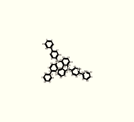 c1ccc(-c2ccc(N(c3ccc(-c4ccccc4)cc3)c3cccc4c3c3ccccc3n4-c3ccc(-c4ccccn4)nc3)cc2)cc1